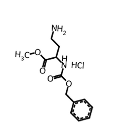 COC(=O)C(CCN)NC(=O)OCc1ccccc1.Cl